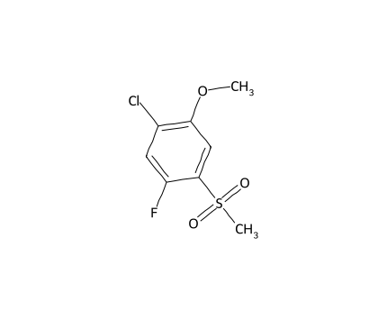 COc1cc(S(C)(=O)=O)c(F)cc1Cl